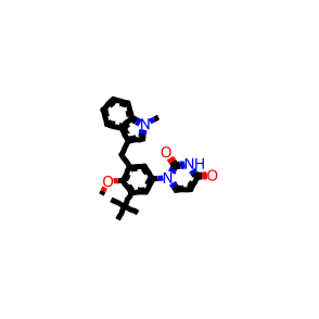 COc1c(Cc2cn(C)c3ccccc23)cc(-n2ccc(=O)[nH]c2=O)cc1C(C)(C)C